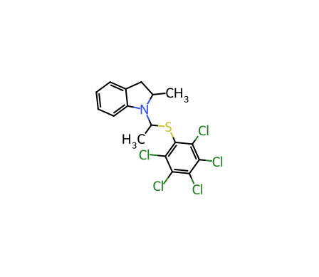 CC1Cc2ccccc2N1C(C)Sc1c(Cl)c(Cl)c(Cl)c(Cl)c1Cl